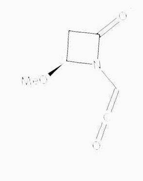 CO[C@H]1CC(=O)N1C=C=O